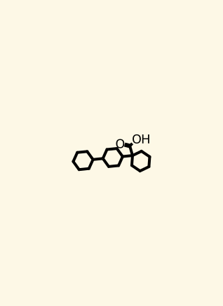 O=C(O)C1(C2CCC(C3CCCCC3)CC2)CCCCC1